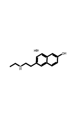 Br.CCNCCc1ccc2cc(O)ccc2c1